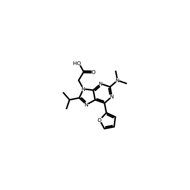 CC(C)c1nc2c(-c3ccco3)nc(N(C)C)nc2n1CC(=O)O